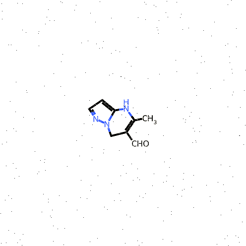 CC1=C(C=O)Cn2nccc2N1